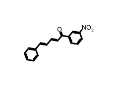 O=C(C=CC=Cc1ccccc1)c1cccc([N+](=O)[O-])c1